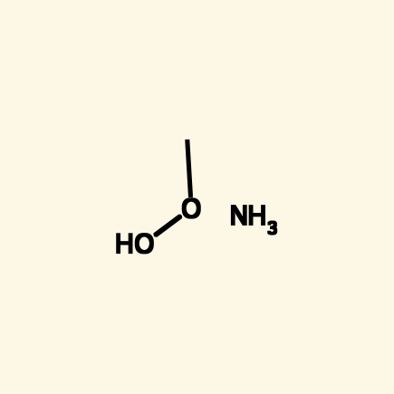 COO.N